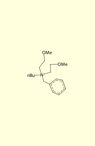 CCCC[N+](CCOC)(CCOC)Cc1ccccc1